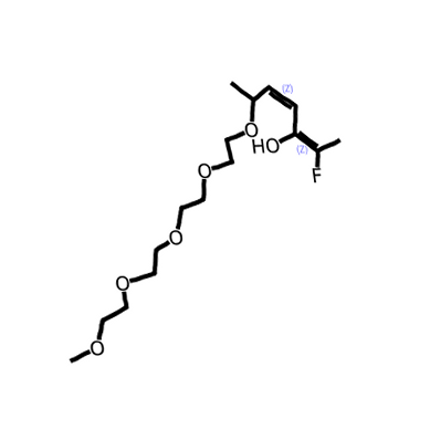 COCCOCCOCCOCCOC(C)/C=C\C(O)=C(/C)F